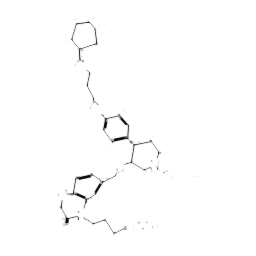 COCCCN1C(=O)COc2ccc(COC3CN(C(=O)O)CCC3c3ccc(OCCCOC4CCCCC4)cc3)cc21